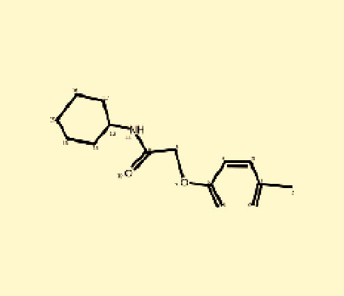 C=C(C)/C=C\C(=C)OCC(=O)NC1CCCCC1